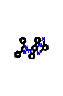 N#Cc1cccc(C#N)c1-n1c2ccccc2c2cc3c(cc21)c1ccccc1n3-c1nc(-c2ccccc2)cc(-c2ccccc2)n1